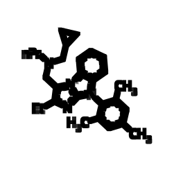 CCCN(Cc1c(CC)nc2n(-c3c(C)cc(C)cc3C)c3ccccc3n12)CC1CC1